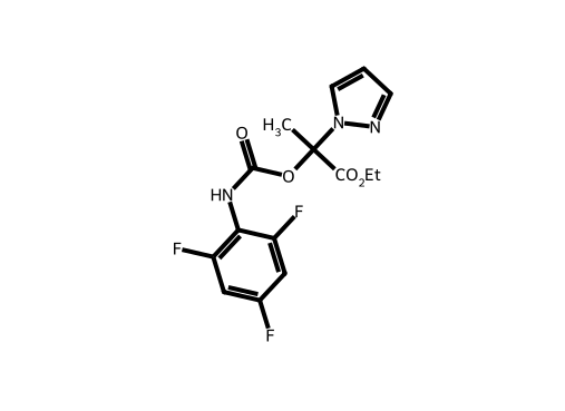 CCOC(=O)C(C)(OC(=O)Nc1c(F)cc(F)cc1F)n1cccn1